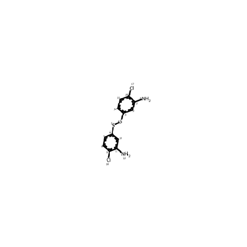 Nc1cc(SSc2ccc(Cl)c(N)c2)ccc1Cl